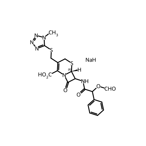 Cn1nnnc1SCC1=C(C(=O)O)N2C(=O)C(NC(=O)C(OC=O)c3ccccc3)[C@H]2SC1.[NaH]